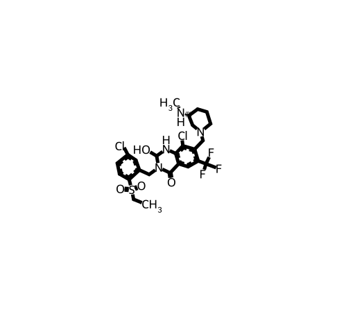 CCS(=O)(=O)c1ccc(Cl)cc1CN1C(=O)c2cc(C(F)(F)F)c(CN3CCC[C@@H](NC)C3)c(Cl)c2NC1O